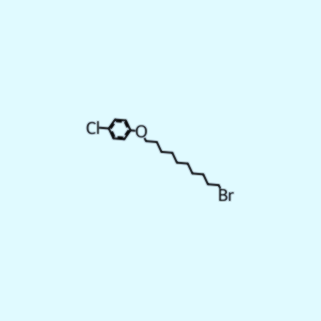 Clc1ccc(OCCCCCCCCCCBr)cc1